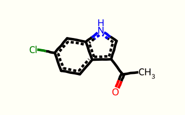 CC(=O)c1c[nH]c2cc(Cl)ccc12